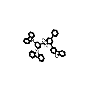 c1ccc(-c2cc(-c3ccc4oc5ccccc5c4c3)c3nc(-c4cc(-n5c6ccccc6c6ccccc65)cc(-n5c6ccccc6c6ccccc65)c4)oc3c2)cc1